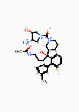 COC(=O)NCCC[C@@](O)(c1cccc(F)c1-c1cccc(C)c1)[C@@H]1CCCN(C(=O)N2C[C@@H](N)[C@@H](O)C2)C1